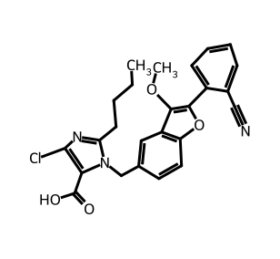 CCCCc1nc(Cl)c(C(=O)O)n1Cc1ccc2oc(-c3ccccc3C#N)c(OC)c2c1